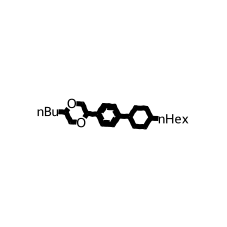 CCCCCCC1CCC(c2ccc(C3COC(CCCC)CO3)cc2)CC1